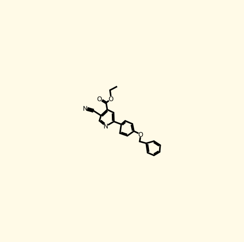 CCOC(=O)c1cc(-c2ccc(OCc3ccccc3)cc2)ncc1C#N